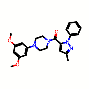 COc1cc(OC)cc(N2CCN(C(=O)c3cc(C)nn3-c3ccccc3)CC2)c1